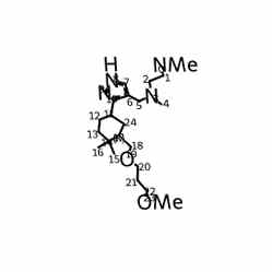 CNCCN(C)Cc1c[nH]nc1C1CCC(C)(C)[C@H](COCCCOC)C1